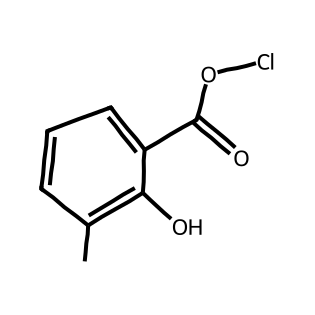 Cc1cccc(C(=O)OCl)c1O